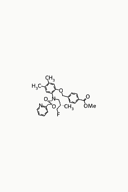 COC(=O)c1ccc(COc2cc(C)c(C)cc2N(C[C@H](C)CF)S(=O)(=O)c2ccccn2)cc1